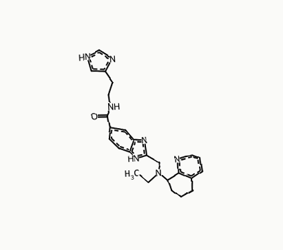 CCN(Cc1nc2cc(C(=O)NCCc3c[nH]cn3)ccc2[nH]1)C1CCCc2cccnc21